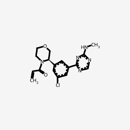 C=CC(=O)N1CCOC[C@H]1c1cc(Cl)cc(-c2ncnc(NC)n2)c1